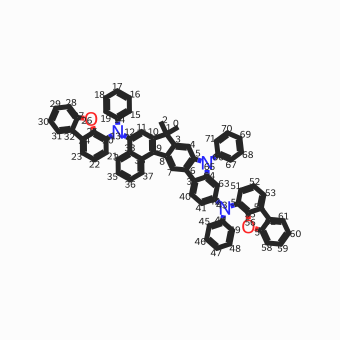 CC1(C)c2cc3c(cc2-c2c1cc(N(c1ccccc1)c1cccc4c1oc1ccccc14)c1ccccc21)c1ccc(N(c2ccccc2)c2cccc4c2oc2ccccc24)cc1n3-c1ccccc1